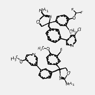 COc1cncc(-c2cccc(C3(c4ccc(OC)c(F)c4)COC(N)=N3)c2)c1.Cc1cc(C2(c3cccc(-c4cncc(Cl)c4)c3)COC(N)=N2)ccc1OC(F)F